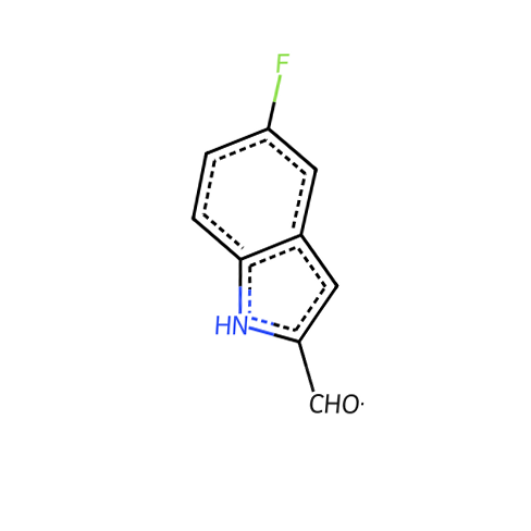 O=[C]c1cc2cc(F)ccc2[nH]1